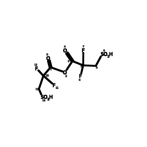 O=C(OC(=O)C(F)(F)CS(=O)(=O)O)C(F)(F)CS(=O)(=O)O